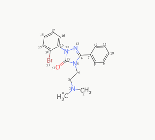 CN(C)CCn1c(-c2ccccc2)nn(-c2ccccc2Br)c1=O